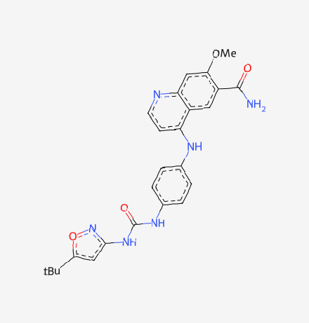 COc1cc2nccc(Nc3ccc(NC(=O)Nc4cc(C(C)(C)C)on4)cc3)c2cc1C(N)=O